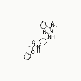 CC(Oc1ccccc1)C(=O)N[C@H]1CC[C@@H](Nc2nc(N(C)C)c3ccccc3n2)CC1